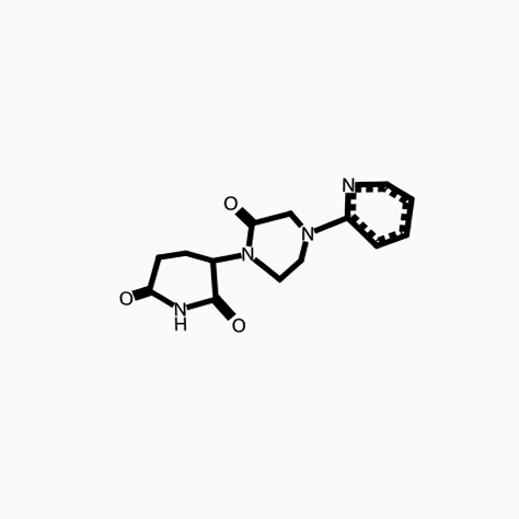 O=C1CCC(N2CCN(c3ccccn3)CC2=O)C(=O)N1